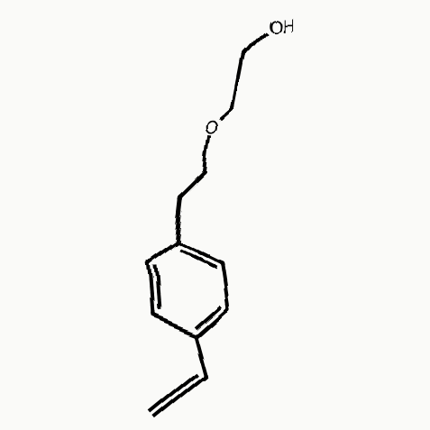 C=Cc1ccc(CCOCCO)cc1